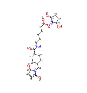 O=C(CCCCCNC(=O)C1CCC(CN2C(=O)C=CC2=O)CC1)ON1C(=O)CCC1O